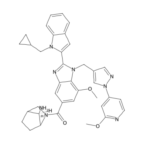 COc1cc(-n2cc(Cn3c(-c4cc5ccccc5n4CC4CC4)nc4cc(C(=O)N5CC6CCC5[C@@H]6N)cc(OC)c43)cn2)ccn1